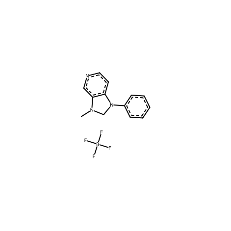 CN1CN(c2ccccc2)c2ccncc21.F[B-](F)(F)F